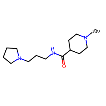 CC(C)(C)N1CCC(C(=O)NCCCN2CCCC2)CC1